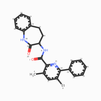 CCc1cc(C)c(C(=O)NC2CCc3ccccc3NC2=O)nc1-c1ccccc1